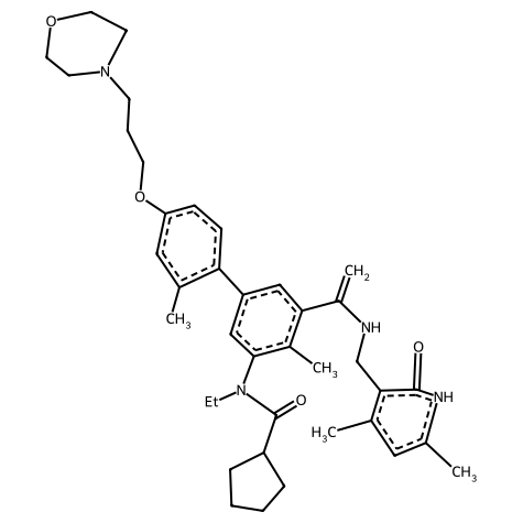 C=C(NCc1c(C)cc(C)[nH]c1=O)c1cc(-c2ccc(OCCCN3CCOCC3)cc2C)cc(N(CC)C(=O)C2CCCC2)c1C